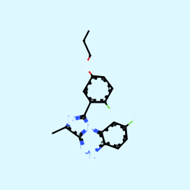 CCCOc1ccc(F)c(-c2nc(C)c3nnc4ccc(F)cc4n23)c1